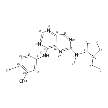 CCN1CCCC1N(C)c1ncc2ncnc(Nc3ccc(F)c(Cl)c3)c2n1